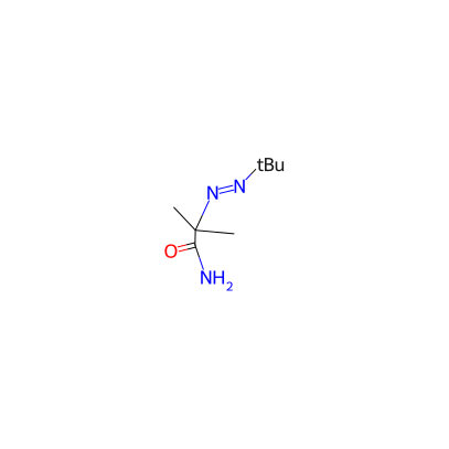 CC(C)(C)/N=N/C(C)(C)C(N)=O